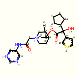 O=C(C[N+]12CCC(CC1)[C@@H](OC(=O)C(O)(c1ccsc1)C1CCCC1)C2)Nc1cncnc1